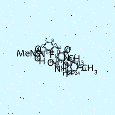 CNS(=O)(=O)Nc1cccc(Cc2cc(C(N)=O)c(Nc3ccc(C)cc3F)n(C)c2=O)c1F